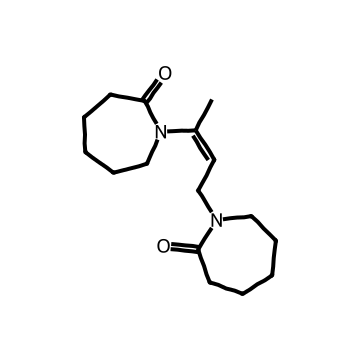 CC(=CCN1CCCCCC1=O)N1CCCCCC1=O